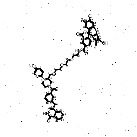 N#Cc1ccc(N2CCN(C(=O)c3cccc(Cc4n[nH]c(=O)c5ccccc45)c3)CC2COCCOCCOCCNC(=O)c2ccc3c(c2)C(=O)OC32c3cc(F)c(O)cc3Oc3cc(O)c(F)cc32)nc1